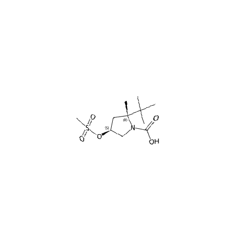 CC(C)(C)[C@@]1(C)C[C@H](OS(C)(=O)=O)CN1C(=O)O